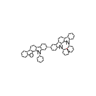 c1ccc(-n2c3cc(-c4ccc5c(c4)c4ccc6c7ccccc7n(-c7ccccc7)c6c4n5-c4ccccc4)ccc3c3ccc4c5ccccc5oc4c32)cc1